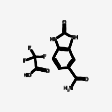 NC(=O)c1ccc2[nH]c(=O)[nH]c2c1.O=C(O)C(F)(F)F